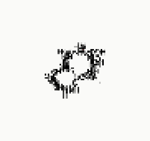 CNC1CSCc2cc3cc(c2)CSCC(NC(=O)C(C)NC(=O)C(Cc2cccc4ccccc24)NC(=O)NC(=O)NC(C)NC1=O)C(=O)NC(C)C(=O)NC(CC(=O)O)C(=O)NC(Cc1ccccc1)C(=O)NC(Cc1ccc(O)cc1)C(=O)NC(CC(=O)O)C(=O)NC(C(C)(C)C)C(=O)NC(C(N)=O)CSC3